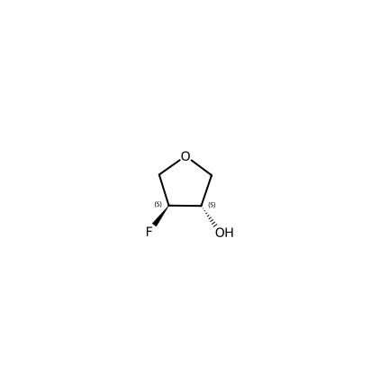 O[C@H]1COC[C@@H]1F